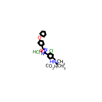 CC(C)(NCc1ccc(-c2noc(-c3ccc(Oc4ccccc4)cc3)n2)c(Cl)c1)C(=O)O.Cl